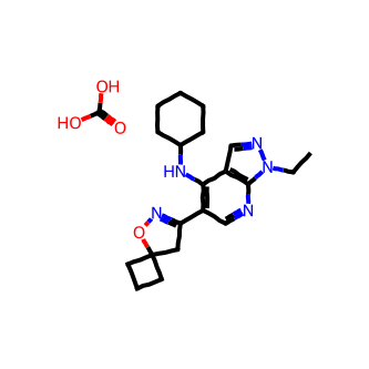 CCn1ncc2c(NC3CCCCC3)c(C3=NOC4(CCC4)C3)cnc21.O=C(O)O